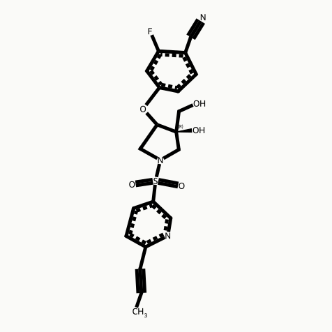 CC#Cc1ccc(S(=O)(=O)N2CC(Oc3ccc(C#N)c(F)c3)[C@](O)(CO)C2)cn1